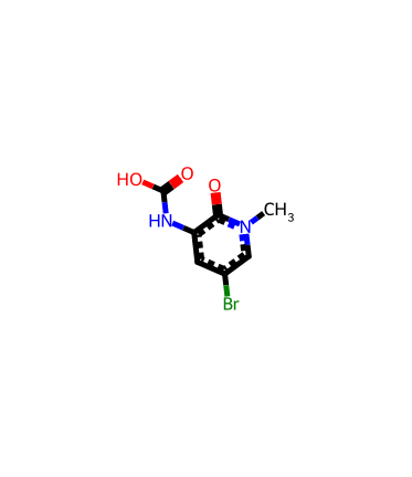 Cn1cc(Br)cc(NC(=O)O)c1=O